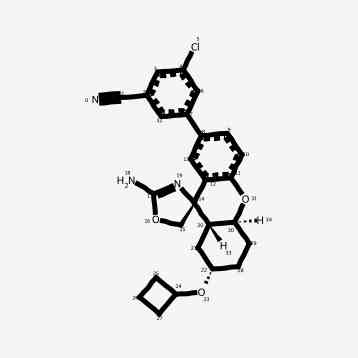 N#Cc1cc(Cl)cc(-c2ccc3c(c2)[C@]2(COC(N)=N2)[C@H]2C[C@@H](OC4CCC4)CC[C@@H]2O3)c1